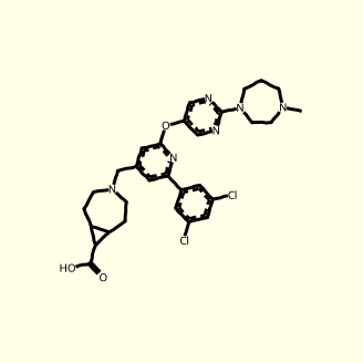 CN1CCCN(c2ncc(Oc3cc(CN4CCC5C(CC4)C5C(=O)O)cc(-c4cc(Cl)cc(Cl)c4)n3)cn2)CC1